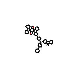 CC1(C)c2ccccc2-c2ccc(N(c3ccc(-c4ccccc4)cc3)c3ccc(-c4ccc5c(c4)-c4ccccc4C54c5ccccc5C5(c6ccccc6-c6ccccc65)c5ccccc54)cc3)cc21